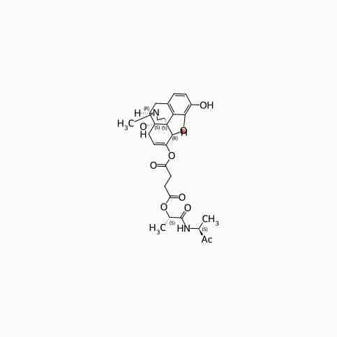 CC(=O)[C@H](C)NC(=O)[C@H](C)OC(=O)CCC(=O)OC1=CC[C@@]2(O)[C@H]3Cc4ccc(O)c5c4[C@@]2(CCN3C)[C@H]1O5